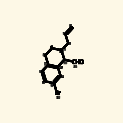 C=CCN1CCc2ccc(Br)cc2C1C=O